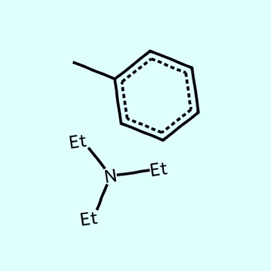 CCN(CC)CC.Cc1ccccc1